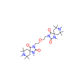 CN1C(C)(C)CC2(CC1(C)C)C(=O)N(CCOCCN1C(=O)N(C)C3(CC(C)(C)N(C)C(C)(C)C3)C1=O)C(=O)N2C